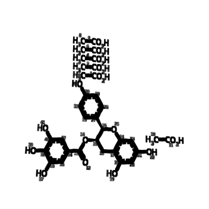 CC(=O)O.CC(=O)O.CC(=O)O.CC(=O)O.CC(=O)O.CC(=O)O.O=C(O[C@@H]1Cc2c(O)cc(O)cc2O[C@@H]1c1ccc(O)cc1)c1cc(O)c(O)c(O)c1